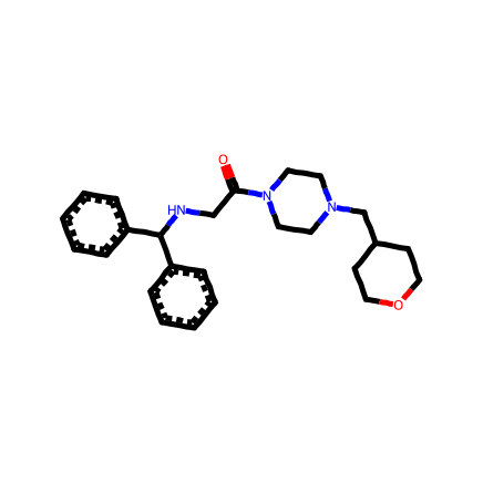 O=C(CNC(c1ccccc1)c1ccccc1)N1CCN(CC2CCOCC2)CC1